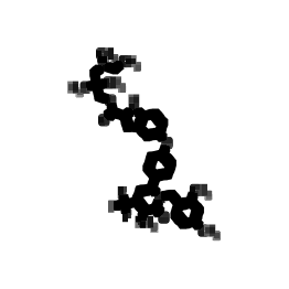 CCN(C)CC(C)(C)COC(=O)c1cc2cc(Oc3ccc(-c4cc(C(F)(F)F)c(N)c(=O)n4Cc4ccc(C)cc4C)cc3)ccc2[nH]1